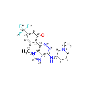 CN1CCCC(Nc2nnc(-c3ccc(C(F)(F)F)cc3O)c3c2ncn3C)C1